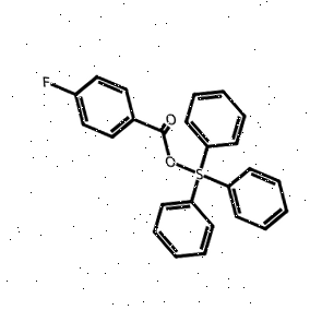 O=C(OS(c1ccccc1)(c1ccccc1)c1ccccc1)c1ccc(F)cc1